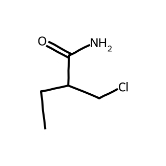 CCC(CCl)C(N)=O